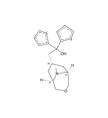 CN1[C@@H]2COC[C@H]1C[C@H](CC(O)(c1cccs1)c1cccs1)C2